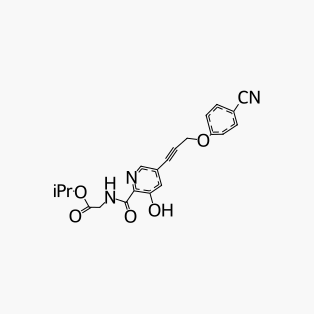 CC(C)OC(=O)CNC(=O)c1ncc(C#CCOc2ccc(C#N)cc2)cc1O